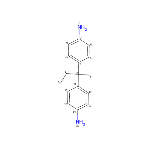 CCC(C)(c1ccc(N)cc1)c1ccc(N)cc1